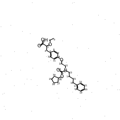 CCOC(Cc1ccc(OCCN(CCCCc2ccccc2)C(=O)OC2CCCC2)cc1)C(=O)O